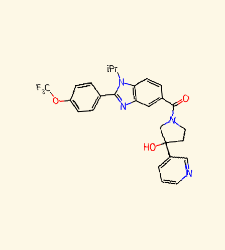 CC(C)n1c(-c2ccc(OC(F)(F)F)cc2)nc2cc(C(=O)N3CCC(O)(c4cccnc4)C3)ccc21